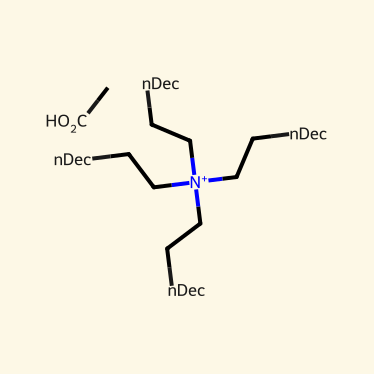 CC(=O)O.CCCCCCCCCCCC[N+](CCCCCCCCCCCC)(CCCCCCCCCCCC)CCCCCCCCCCCC